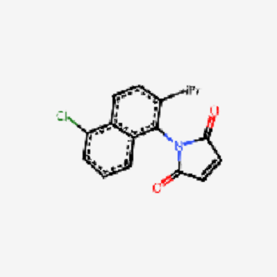 CC(C)c1ccc2c(Cl)cccc2c1N1C(=O)C=CC1=O